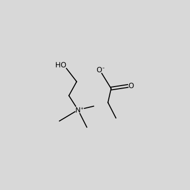 CCC(=O)[O-].C[N+](C)(C)CCO